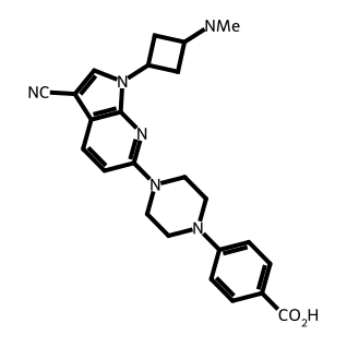 CNC1CC(n2cc(C#N)c3ccc(N4CCN(c5ccc(C(=O)O)cc5)CC4)nc32)C1